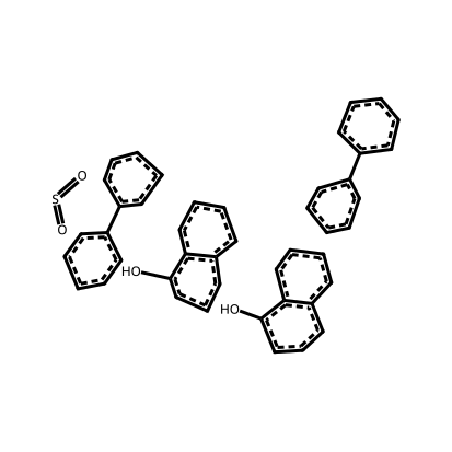 O=S=O.Oc1cccc2ccccc12.Oc1cccc2ccccc12.c1ccc(-c2ccccc2)cc1.c1ccc(-c2ccccc2)cc1